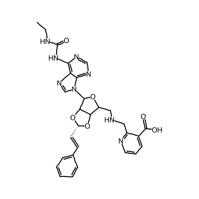 CCNC(=O)Nc1ncnc2c1ncn2C1OC(CNCc2ncccc2C(=O)O)C2O[C@H](/C=C/c3ccccc3)OC21